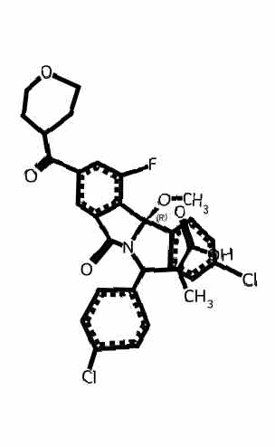 CO[C@]1(c2ccc(Cl)cc2)c2c(F)cc(C(=O)C3CCOCC3)cc2C(=O)N1C(c1ccc(Cl)cc1)C(C)C(=O)O